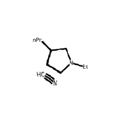 C#N.CCCC1CCN(CC)C1